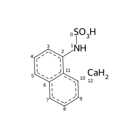 O=S(=O)(O)Nc1cccc2ccccc12.[CaH2]